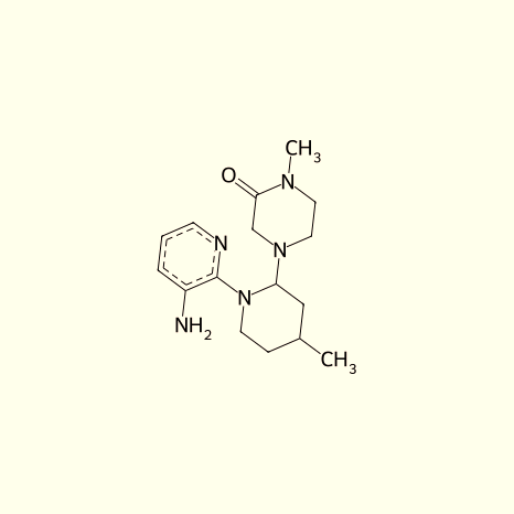 CC1CCN(c2ncccc2N)C(N2CCN(C)C(=O)C2)C1